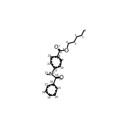 CCCCCOC(=O)c1ccc(N(C)C(=O)c2ccccc2)cc1